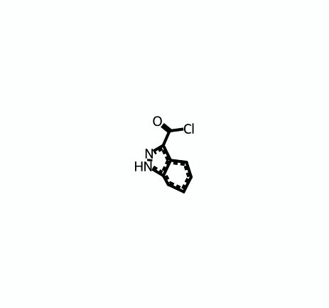 O=C(Cl)c1n[nH]c2ccccc12